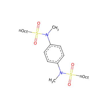 CCCCCCCCS(=O)(=O)N(C)c1ccc(N(C)S(=O)(=O)CCCCCCCC)cc1